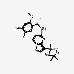 COc1cc(Cl)c(F)cc1[C@H](C)Nc1ccn2ncc(C3(C)NOC(C)(C)N3)c2n1